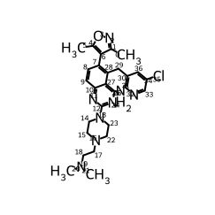 Cc1noc(C)c1-c1ccc2nc(N3CCN(CCN(C)C)CC3)nc(N)c2c1Cc1cncc(Cl)c1